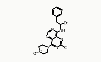 CCC(Cc1ccccc1)Nc1ncnc2c(N3CC[S+]([O-])CC3)nc(Cl)nc12